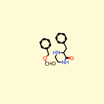 O=C1NCCNC1Cc1ccccc1.O=COCc1ccccc1